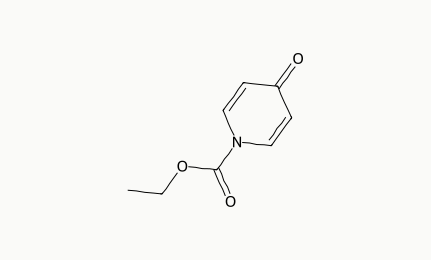 CCOC(=O)n1ccc(=O)cc1